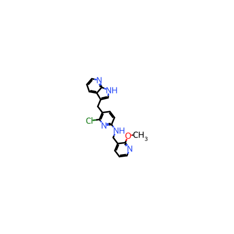 COc1ncccc1CNc1ccc(Cc2c[nH]c3ncccc23)c(Cl)n1